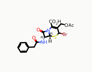 CC(=O)OCC1=C(C(=O)O)N2C(=O)[C@@H](NC(=O)Cc3ccccc3)[C@H]2SC1Br